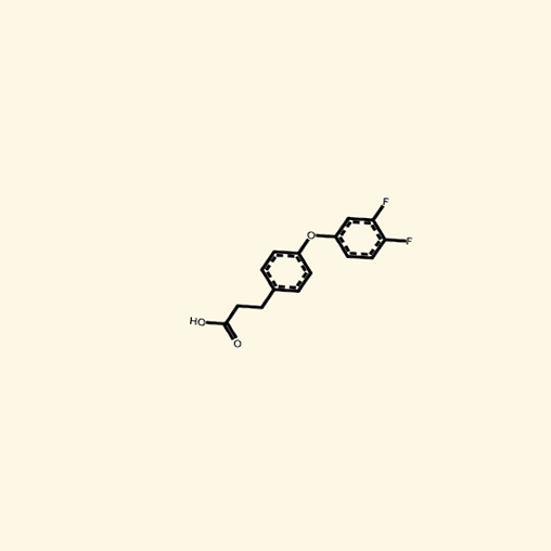 O=C(O)CCc1ccc(Oc2ccc(F)c(F)c2)cc1